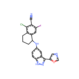 N#Cc1c(I)cc2c(c1Cl)CCCC2Nc1ccc2[nH]nc(-c3cnco3)c2c1